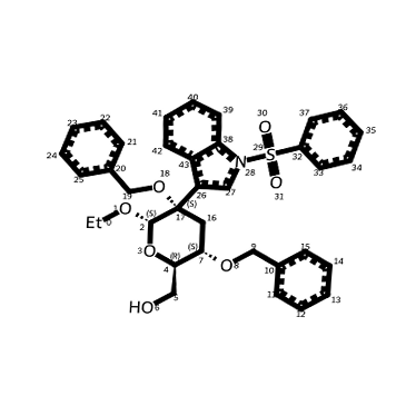 CCO[C@H]1O[C@H](CO)[C@@H](OCc2ccccc2)C[C@]1(OCc1ccccc1)c1cn(S(=O)(=O)c2ccccc2)c2ccccc12